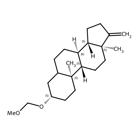 C=C1CC[C@H]2[C@@H]3CCC4C[C@@H](OCOC)CC[C@]4(C)[C@H]3CC[C@]12C